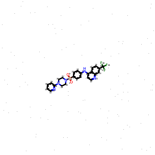 O=S(=O)(c1ccc(Nc2ccnc3cc(C(F)(F)F)ccc23)cc1)N1CCN(c2ccccn2)CC1